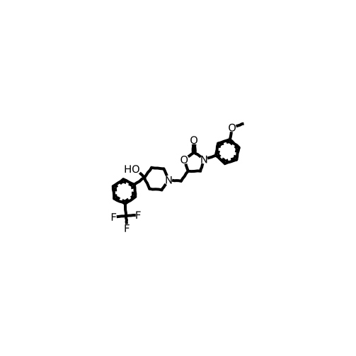 COc1cccc(N2CC(CN3CCC(O)(c4cccc(C(F)(F)F)c4)CC3)OC2=O)c1